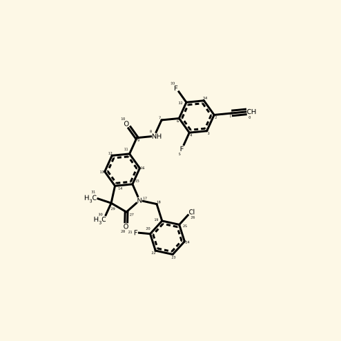 C#Cc1cc(F)c(CNC(=O)c2ccc3c(c2)N(Cc2c(F)cccc2Cl)C(=O)C3(C)C)c(F)c1